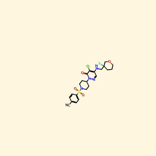 N#Cc1ccc(S(=O)(=O)N2CCC(n3ncc(NC[C@@]4(F)CCCOC4)c(Cl)c3=O)CC2)cc1